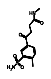 CNC(=O)CCC(=O)c1ccc(C)c(S(N)(=O)=O)c1